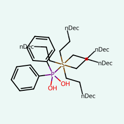 CCCCCCCCCCCCS(CCCCCCCCCCCC)(CCCCCCCCCCCC)(CCCCCCCCCCCC)(CCCCCCCCCCCC)P(O)(O)(c1ccccc1)c1ccccc1